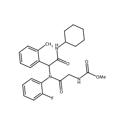 COC(=O)NCC(=O)N(c1ccccc1F)C(C(=O)NC1CCCCC1)c1ccccc1C